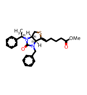 COC(=O)CCCC=C1SC[C@H]2[C@@H]1N(Cc1ccccc1)C(=O)N2[C@H](C)c1ccccc1